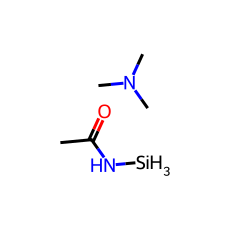 CC(=O)N[SiH3].CN(C)C